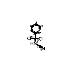 N#CNC(Cl)(Cl)c1ccccn1